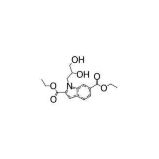 CCOC(=O)c1ccc2cc(C(=O)OCC)n(CC(O)CO)c2c1